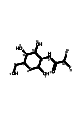 O=C(N[C@H]1C(O)SC(CO)[C@@H](O)C1O)C(F)F